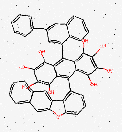 Oc1c(O)c(O)c2c(-c3cccc4oc5cc6ccccc6cc5c34)c3c(O)c(O)c(O)c(O)c3c(-c3cc(-c4ccccc4)cc4ccccc34)c2c1O